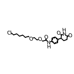 O=C1CCC(c2ccc(NC(=O)COCCOCCCCCCCl)cc2)C(=O)N1